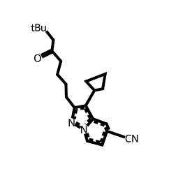 CC(C)(C)CC(=O)CCCCc1nn2ccc(C#N)cc2c1C1CCC1